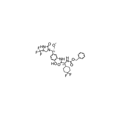 COC[C@H](c1ccc(O)c(NC(=O)[C@@H](NC(=O)OCc2ccccc2)C2CCC(F)(F)CC2)c1)N1C[C@@H](C(F)(F)F)NC1=O